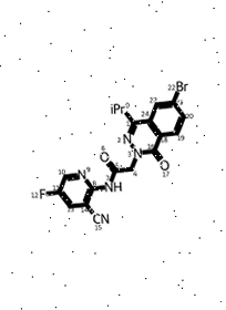 CC(C)c1nn(CC(=O)Nc2ncc(F)cc2C#N)c(=O)c2ccc(Br)cc12